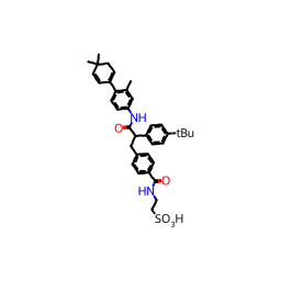 Cc1cc(NC(=O)C(Cc2ccc(C(=O)NCCS(=O)(=O)O)cc2)c2ccc(C(C)(C)C)cc2)ccc1C1=CCC(C)(C)C=C1